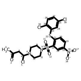 CC(=O)CC(Cl)N1CCN(S(=O)(=O)c2cc([N+](=O)[O-])ccc2Sc2cc(Cl)ccc2Cl)CC1